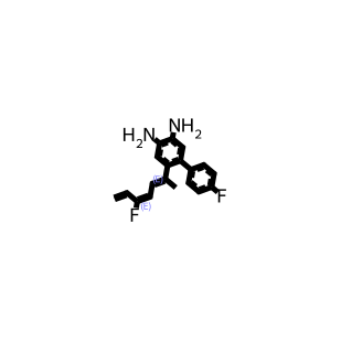 C=C/C(F)=C\C=C(/C)c1cc(N)c(N)cc1-c1ccc(F)cc1